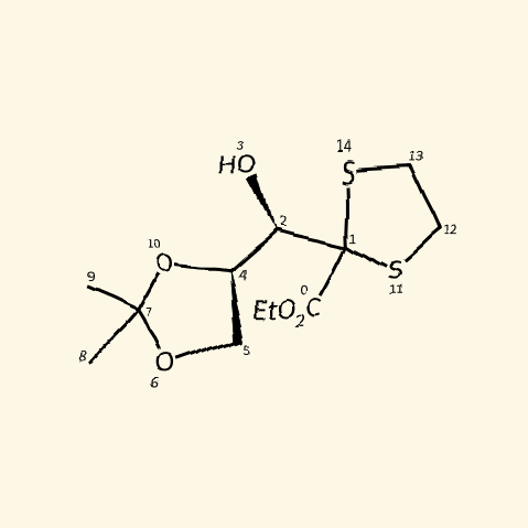 CCOC(=O)C1([C@H](O)[C@H]2COC(C)(C)O2)SCCS1